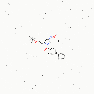 CO/N=C1/C[C@@H](CCO[Si](C)(C)C(C)(C)C)N(C(=O)c2ccc(-c3ccccc3)cc2)C1